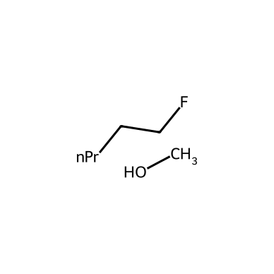 CCCCCF.CO